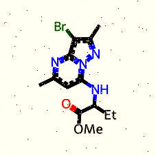 CCC(Nc1cc(C)nc2c(Br)c(C)nn12)C(=O)OC